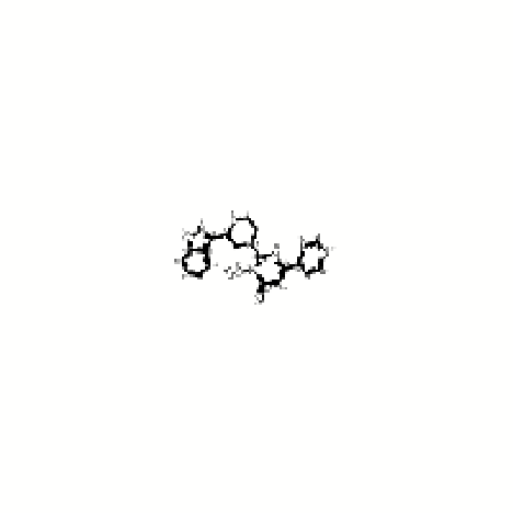 Cn1c(N2CCOC(c3noc4ccccc34)C2)nc(-c2ccncn2)cc1=O